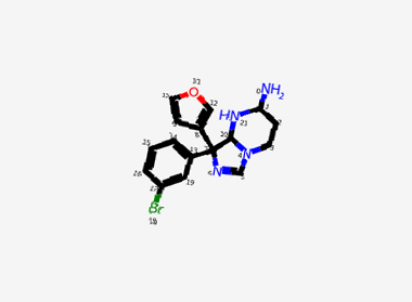 NC1CCN2C=NC(c3ccoc3)(c3cccc(Br)c3)C2N1